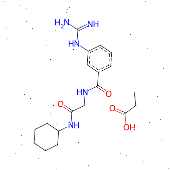 CCC(=O)O.N=C(N)Nc1cccc(C(=O)NCC(=O)NC2CCCCC2)c1